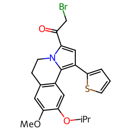 COc1cc2c(cc1OC(C)C)-c1c(-c3cccs3)cc(C(=O)CBr)n1CC2